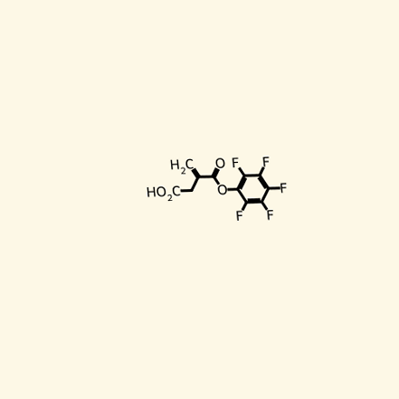 C=C(CC(=O)O)C(=O)Oc1c(F)c(F)c(F)c(F)c1F